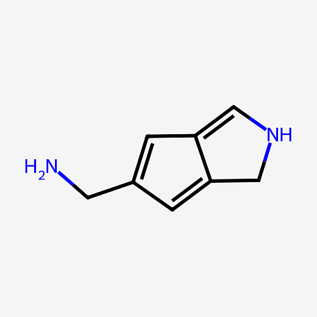 NCC1=CC2=CNCC2=C1